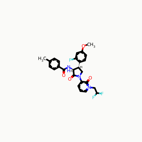 COc1ccc([C@@H]2CN(c3cccn(CC(F)F)c3=O)C(=O)[C@H]2NC(=O)c2ccc(C)cc2)c(F)c1